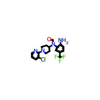 Nc1ccc(C(F)(F)F)cc1N(C=O)C1CCN(c2ncccc2Cl)CC1